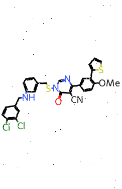 COc1ccc(-c2ncn(SCc3cccc(NCc4ccc(Cl)c(Cl)c4)c3)c(=O)c2C#N)cc1-c1cccs1